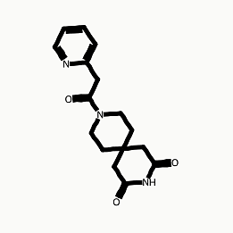 O=C1CC2(CCN(C(=O)Cc3ccccn3)CC2)CC(=O)N1